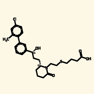 Cc1cc(Cl)ccc1-c1cccc([C@H](O)CC[C@H]2CCCC(=O)N2CCSCCCC(=O)O)c1